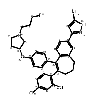 Nc1cc(-c2ccc3c(c2)CCCC(c2ccc(Cl)cc2Cl)=C3c2ccc(O[C@H]3CCN(CCCF)C3)cc2)n[nH]1